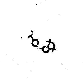 COC(=O)c1ccc(Oc2ccc3c(c2)C(C)(C)CCC3(C)C)cc1